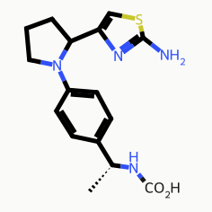 C[C@@H](NC(=O)O)c1ccc(N2CCCC2c2csc(N)n2)cc1